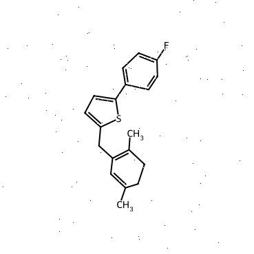 CC1=CC(Cc2ccc(-c3ccc(F)cc3)s2)=C(C)CC1